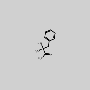 CC(=O)[C@](C)(N)Cc1ccccc1